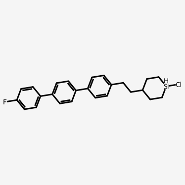 Fc1ccc(-c2ccc(-c3ccc(CCC4CC[SiH](Cl)CC4)cc3)cc2)cc1